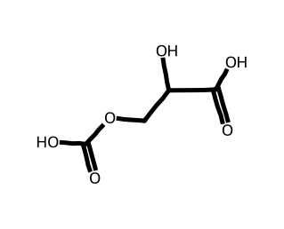 O=C(O)OCC(O)C(=O)O